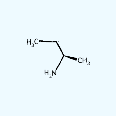 C[CH][C@@H](C)N